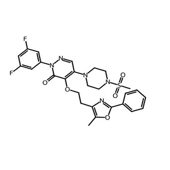 Cc1oc(-c2ccccc2)nc1CCOc1c(N2CCN(S(C)(=O)=O)CC2)cnn(-c2cc(F)cc(F)c2)c1=O